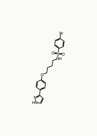 O=S(=O)(NCCCCOc1ccc(-c2cc[nH]n2)cc1)c1ccc(Br)cc1